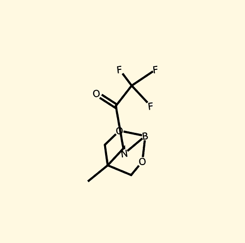 CC12COB(OC1)N(C(=O)C(F)(F)F)C2